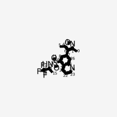 Cc1noc(C)c1-c1cc(S(=O)(=O)NC(C)C(F)(F)F)c2cccnc2c1